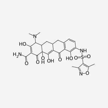 Cc1noc(C)c1S(=O)(=O)Nc1ccc2c(c1O)C(=O)C1=C(O)C3(O)C(=O)C(C(N)=O)=C(O)C(N(C)C)C3CC1C2